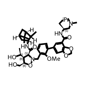 COc1c(CN2O[C@@H](CO)[C@@H]([C@H](C)O)[C@H]2C(=O)N[C@H]2C[C@H]3C[C@@H]([C@@H]2C)C3(C)C)cccc1-c1cc2c(c(C(=O)N[C@@H](CC(C)C)CN(C)C)c1)OCO2